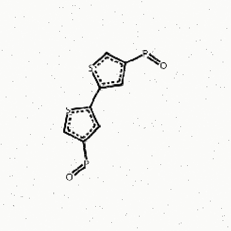 O=Pc1csc(-c2cc(P=O)cs2)c1